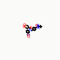 CC(C)(C)c1noc(C23CCC(CN(C(=O)C4CCS(=O)(=O)CC4)c4cccc(P(C)(C)=O)c4)(CC2)CC3)n1